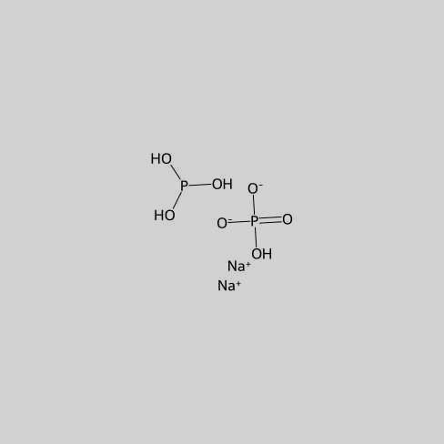 O=P([O-])([O-])O.OP(O)O.[Na+].[Na+]